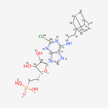 O=P(O)(O)CC[C@H]1O[C@@H](n2cnc3c(NCCC45CC6CC(CC(C6)C4)C5)nc(Cl)nc32)C(O)C1O